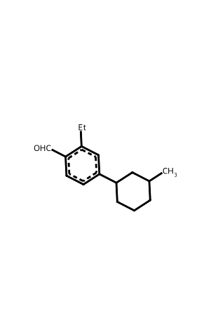 CCc1cc(C2CCCC(C)C2)ccc1C=O